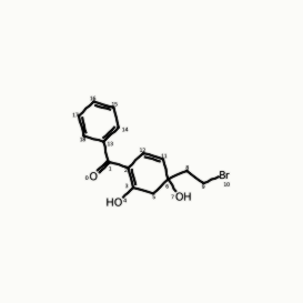 O=C(C1=C(O)CC(O)(CCBr)C=C1)c1ccccc1